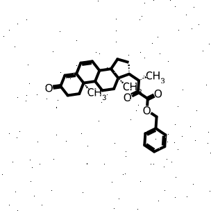 C[C@H](C(=O)C(=O)OCc1ccccc1)[C@H]1CCC2C3C=CC4=CC(=O)CC[C@]4(C)C3CC[C@@]21C